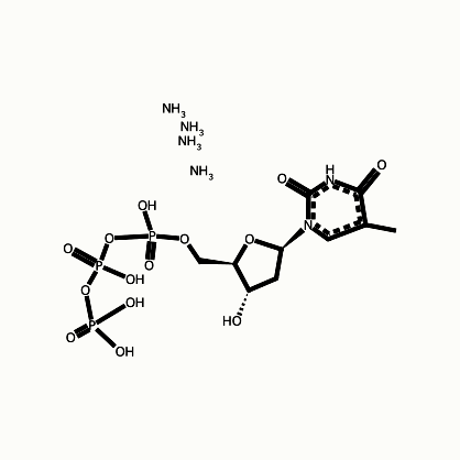 Cc1cn([C@H]2C[C@H](O)[C@@H](COP(=O)(O)OP(=O)(O)OP(=O)(O)O)O2)c(=O)[nH]c1=O.N.N.N.N